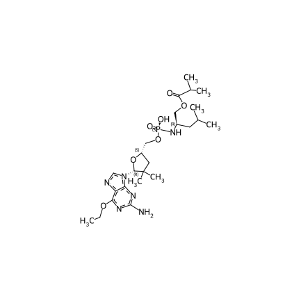 CCOc1nc(N)nc2c1ncn2[C@@H]1O[C@H](CO[P@@](=O)(O)N[C@@H](COC(=O)C(C)C)CC(C)C)CC1(C)C